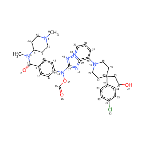 CN1CCC(N(C)C(=O)c2ccc(N(OC=O)c3nc4c(N5CCC(CCO)(c6ccc(Cl)cc6)CC5)cccn4n3)cc2)CC1